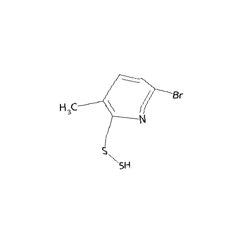 Cc1ccc(Br)nc1SS